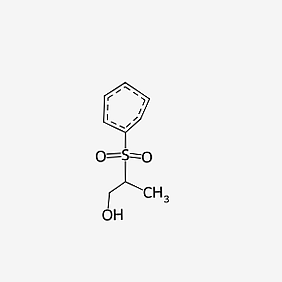 CC(CO)S(=O)(=O)c1ccccc1